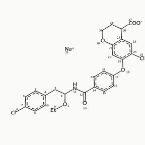 CCOC(Cc1ccc(Cl)cc1)NC(=O)c1ccc(Oc2cc3c(cc2Cl)C(C(=O)[O-])CCO3)cc1.[Na+]